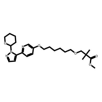 COC(=O)C(C)(C)COCCCCCCOc1ccc(-c2ccnn2C2CCCCO2)nc1